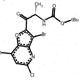 C[C@H](NC(=O)OC(C)(C)C)C(=O)c1oc2c(I)cc(Cl)nc2c1Br